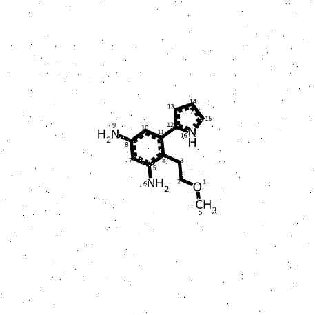 COCCc1c(N)cc(N)cc1-c1ccc[nH]1